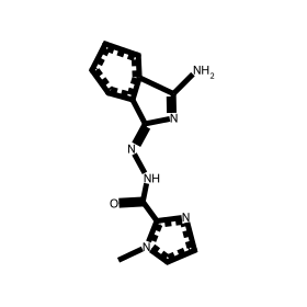 Cn1ccnc1C(=O)N/N=C1\N=C(N)c2ccccc21